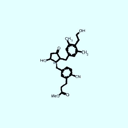 COC(=O)CCc1cc(C[C@H]2C(O)CC(=O)C2Cc2cc(C)c(CCO)c(C)c2)ccc1C#N